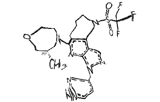 C[C@@H]1COCCN1c1nc2c(cnn2-c2cc[nH]n2)c2c1CCN2S(=O)(=O)C(F)(F)F